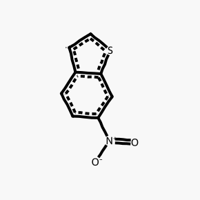 O=[N+]([O-])c1ccc2[c]csc2c1